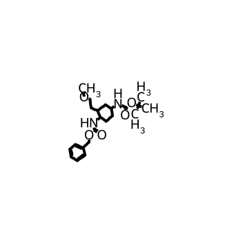 COCCC1CC(NC(=O)OC(C)(C)C)CCC1NC(=O)OCc1ccccc1